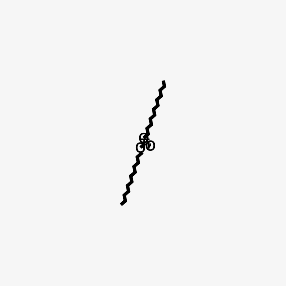 CCCCCCCCCCCC[O][Ti](=[O])[O]CCCCCCCCCCCC